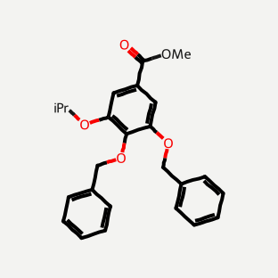 COC(=O)c1cc(OCc2ccccc2)c(OCc2ccccc2)c(OC(C)C)c1